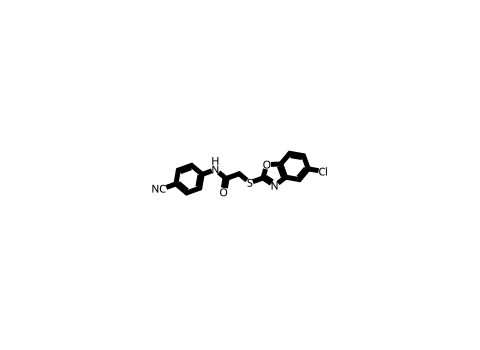 N#Cc1ccc(NC(=O)CSc2nc3cc(Cl)ccc3o2)cc1